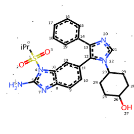 CC(C)S(=O)(=O)n1c(N)nc2ccc(-c3c(-c4ccccc4)ncn3C3CCC(O)CC3)cc21